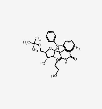 Cc1cn([C@]2([SiH](c3ccccc3)c3ccccc3)O[C@H](COC(C)(C)C)[C@@H](O)[C@H]2OCCO)c(=O)[nH]c1=O